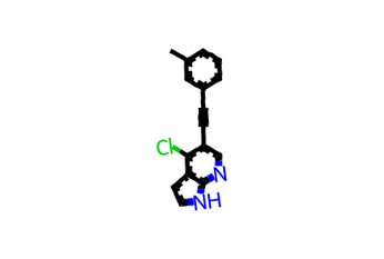 Cc1cccc(C#Cc2cnc3[nH]ccc3c2Cl)c1